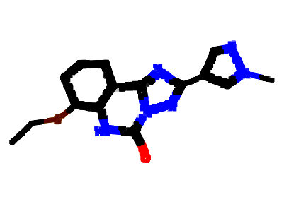 CCSc1cccc2c1[nH]c(=O)n1nc(-c3cnn(C)c3)nc21